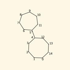 C1CCCC([C]2CCCCCC2)CCC1